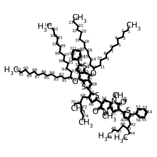 CCCCCCCCCCCCC(CCCCCCCCCCCC)Oc1c2cc(-c3sc(-c4cc5c(cc(-c6cc(CC(CC)CCCC)c(-c7ccccc7)s6)c(=O)n5C)n(C)c4=O)cc3CC(CC)CCCC)sc2c(OC(CCCCCCCCCCCC)CCCCCCCCCCCC)c2cc(-c3ccccc3)sc12